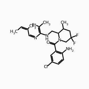 C\C=C(/C=N\C(NCC1C(C)CC(F)(F)CN1C(=O)c1cc(Cl)ccc1N)=C(\C)CC)C(F)(F)F